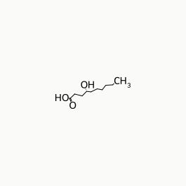 CCCCCC[C@@H](O)CCC(=O)O